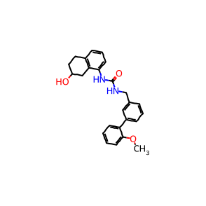 COc1ccccc1-c1cccc(CNC(=O)Nc2cccc3c2CC(O)CC3)c1